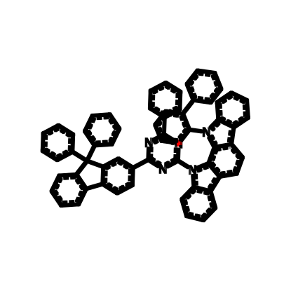 c1ccc(-c2nc(-c3ccc4c(c3)C(c3ccccc3)(c3ccccc3)c3ccccc3-4)nc(-n3c4ccccc4c4ccc5c6ccccc6n(-c6ccccc6-c6ccccc6)c5c43)n2)cc1